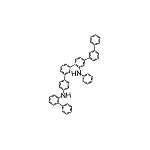 c1ccc(Nc2cc(-c3cccc(-c4ccccc4)c3)ccc2-c2cccc(-c3ccc(Nc4ccccc4-c4ccccc4)cc3)c2)cc1